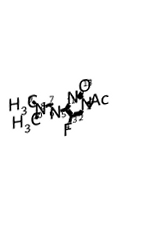 CC(=O)n1cc(F)c(N=CN(C)C)nc1=O